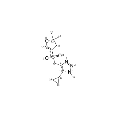 Cn1nnc(CS(=O)(=O)C2=NOC(C)(C)C2)c1C1CC1